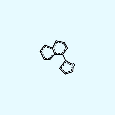 c1coc(-c2cccc3ccccc23)c1